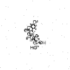 COc1ccc2c(Cn3c(=O)c(F)cn([C@@H]4CC(O)[C@H](CO)O4)c3=O)cc(=O)oc2c1